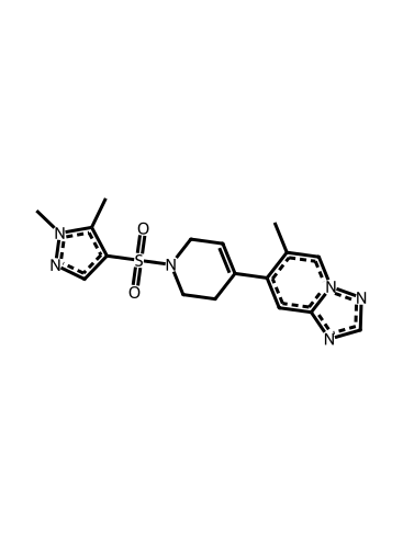 Cc1cn2ncnc2cc1C1=CCN(S(=O)(=O)c2cnn(C)c2C)CC1